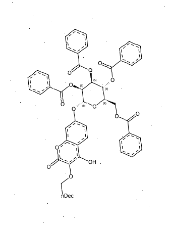 CCCCCCCCCCCOc1c(O)c2ccc(O[C@H]3O[C@H](COC(=O)c4ccccc4)[C@@H](OC(=O)c4ccccc4)[C@H](OC(=O)c4ccccc4)[C@@H]3OC(=O)c3ccccc3)cc2oc1=O